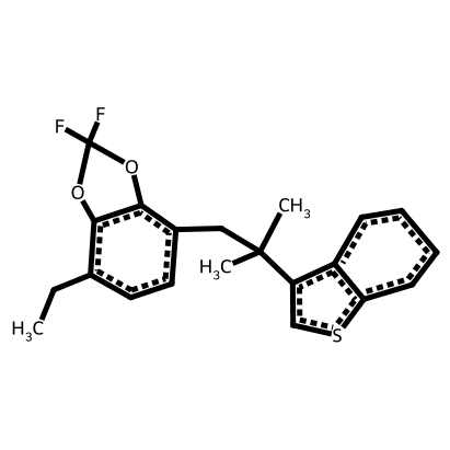 CCc1ccc(CC(C)(C)c2csc3ccccc23)c2c1OC(F)(F)O2